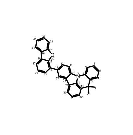 CC1(C)c2ccccc2-n2c3ccc(-c4cccc5c4oc4ccccc45)cc3c3cccc1c32